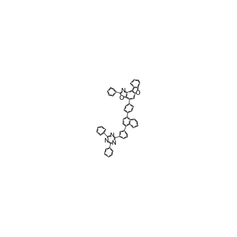 c1ccc(-c2nc(-c3ccccc3)nc(-c3cccc(-c4ccc(-c5ccc(-c6cc7oc8ccccc8c7c7nc(-c8ccccc8)oc67)cc5)c5ccccc45)c3)n2)cc1